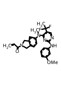 C=CC(=O)N1Cc2ccc(N(C)c3nc(Nc4cccc(OC)c4)ncc3C(C)(F)F)cc2C1